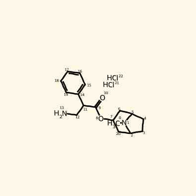 CN1C2CCC1CC(OC(=O)C(CN)c1ccccc1)C2.Cl.Cl